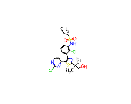 CCCS(=O)(=O)Nc1cccc(-c2nc(C(C)(C)CO)sc2-c2ccnc(Cl)n2)c1Cl